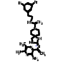 C=C(/N=C1\NCC2(CCN(C(=C)NCCc3cc(CC)cc(CC)c3)CC2)N1)c1nc(C)c(P)nc1N